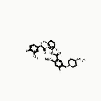 COc1cc(F)c(O[C@H]2CC[C@@H](C(=O)O)CC2)cc1C(=O)N[C@@H]1[C@H](C(=O)Nc2ccc(F)c(C(F)(F)F)c2)[C@H]2C=C[C@@H]1C2